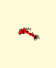 COc1cc(C(=O)NN2CCC(CCN3CCN(c4ccc(NC5CCC(=O)NC5=O)cc4F)CC3)CC2)ccc1Nc1ncc2c(n1)N(C1CCCC1)CC(F)(F)C(=O)N2C